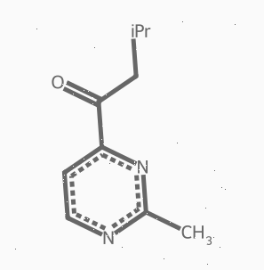 Cc1nccc(C(=O)CC(C)C)n1